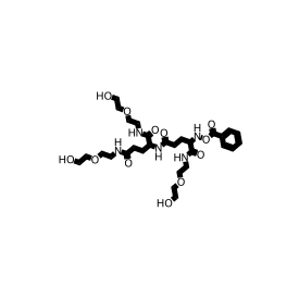 O=C(CCC(NC(=O)CCC(NOC(=O)c1ccccc1)C(=O)NCCOCCO)C(=O)NCCOCCO)NCCOCCO